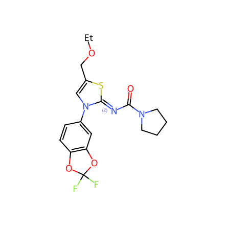 CCOCc1cn(-c2ccc3c(c2)OC(F)(F)O3)/c(=N/C(=O)N2CCCC2)s1